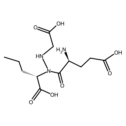 CCC[C@@H](C(=O)O)N(NCC(=O)O)C(=O)[C@@H](N)CCC(=O)O